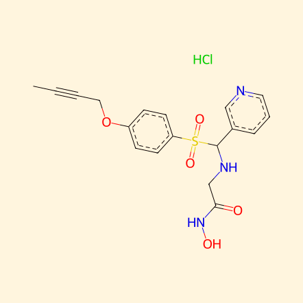 CC#CCOc1ccc(S(=O)(=O)C(NCC(=O)NO)c2cccnc2)cc1.Cl